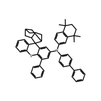 CC1(C)CCC(C)(C)c2cc(N(c3ccc(-c4ccccc4)cc3)c3cc(-c4ccccc4)c4c(c3)C3(c5ccccc5S4)C4CC5CC(C4)C3C5)ccc21